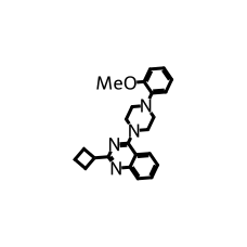 COc1ccccc1N1CCN(c2nc(C3CCC3)nc3ccccc23)CC1